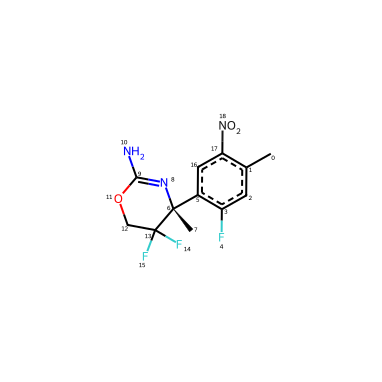 Cc1cc(F)c([C@@]2(C)N=C(N)OCC2(F)F)cc1[N+](=O)[O-]